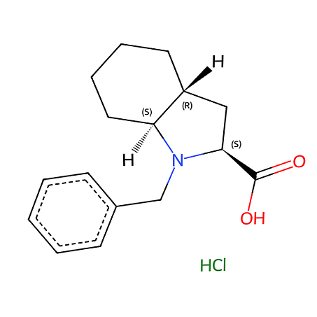 Cl.O=C(O)[C@@H]1C[C@H]2CCCC[C@@H]2N1Cc1ccccc1